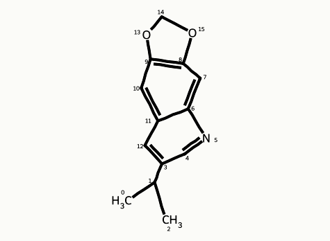 CC(C)c1cnc2cc3c(cc2c1)OCO3